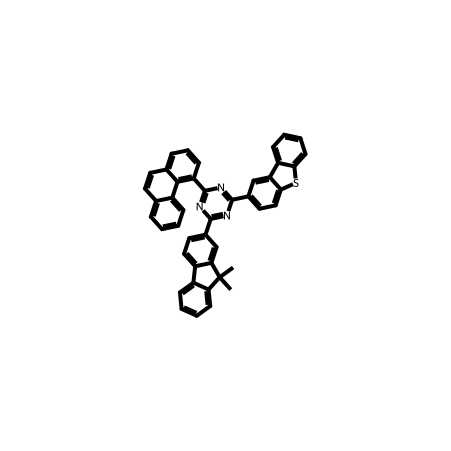 CC1(C)c2ccccc2-c2ccc(-c3nc(-c4ccc5sc6ccccc6c5c4)nc(-c4cccc5ccc6ccccc6c45)n3)cc21